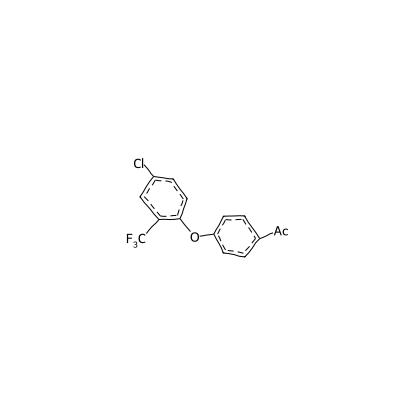 CC(=O)c1ccc(Oc2ccc(Cl)cc2C(F)(F)F)cc1